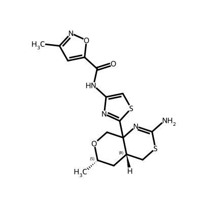 Cc1cc(C(=O)Nc2csc(C34CO[C@@H](C)C[C@H]3CSC(N)=N4)n2)on1